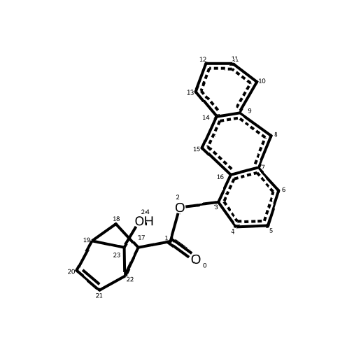 O=C(Oc1cccc2cc3ccccc3cc12)C1CC2C=CC1C2O